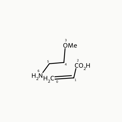 C=CC(=O)O.COCCN